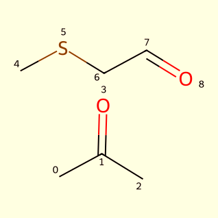 CC(C)=O.CSCC=O